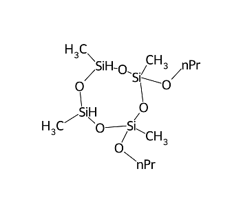 CCCO[Si]1(C)O[SiH](C)O[SiH](C)O[Si](C)(OCCC)O1